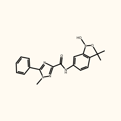 Cn1nc(C(=O)Nc2ccc3c(c2)B(O)OC3(C)C)nc1-c1ccccc1